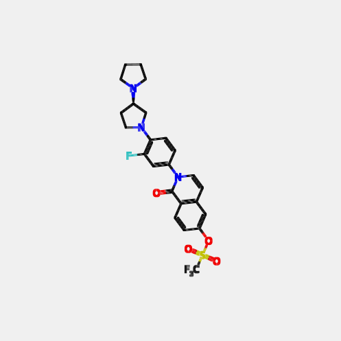 O=c1c2ccc(OS(=O)(=O)C(F)(F)F)cc2ccn1-c1ccc(N2CC[C@@H](N3CCCC3)C2)c(F)c1